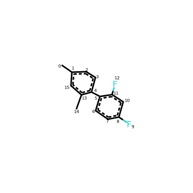 Cc1ccc(-c2ccc(F)cc2F)c(C)c1